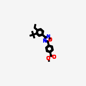 CCc1ccc(-c2noc(-c3ccc(C(=O)OC)cc3)n2)cc1C(C)(C)C